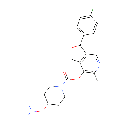 Cc1ncc2c(c1OC(=O)N1CCC(ON(O)O)CC1)COC2c1ccc(Cl)cc1